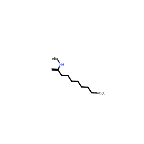 C=C(CCCCCCCCCCCCCCC)NCCCC